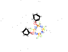 FP1(F)=NP(F)(F)=NP(F)(Oc2ccccc2)=NP(F)(Oc2ccccc2)=N1